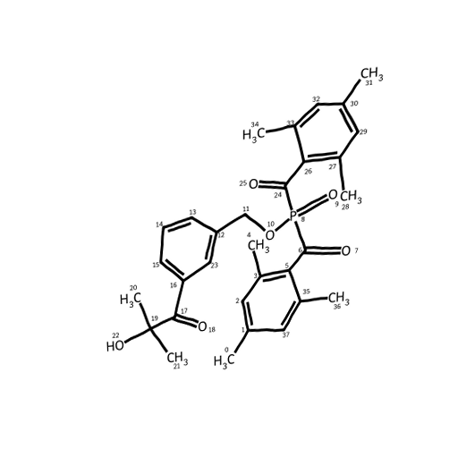 Cc1cc(C)c(C(=O)P(=O)(OCc2cccc(C(=O)C(C)(C)O)c2)C(=O)c2c(C)cc(C)cc2C)c(C)c1